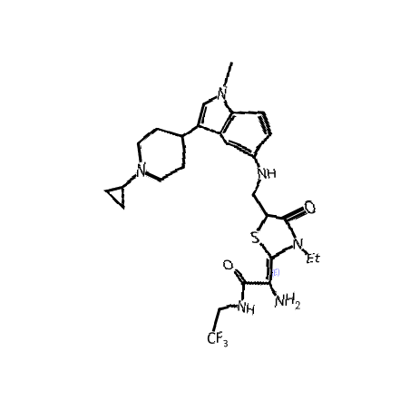 CCN1C(=O)C(CNc2ccc3c(c2)c(C2CCN(C4CC4)CC2)cn3C)S/C1=C(/N)C(=O)NCC(F)(F)F